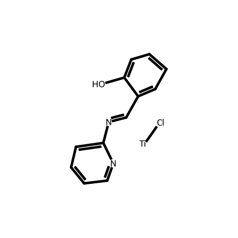 Oc1ccccc1C=Nc1ccccn1.[Cl][Ti]